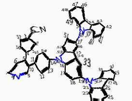 N#Cc1ccc(-c2ccncc2-c2ccc(-n3c4ccc(-n5c6ccccc6c6ccccc65)cc4c4cc(-n5c6ccccc6c6ccccc65)ccc43)cc2)cc1